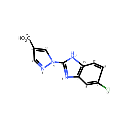 O=C(O)c1cnn(-c2nc3cc(Cl)ccc3[nH]2)c1